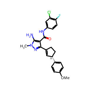 COc1ccc([C@@H]2C=C(c3nn(C)c(N)c3C(=O)Nc3ccc(F)c(Cl)c3)CC2)cc1